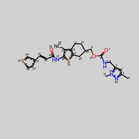 Cc1cc(CNC(=O)OCC2CCc3c(sc(NC(=O)C=Cc4ccsc4)c3C#N)C2)n(C)n1